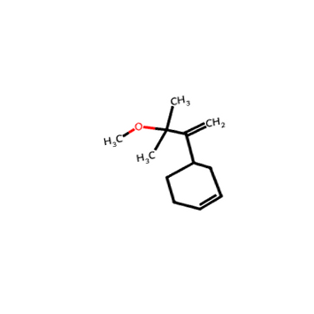 C=C(C1CC=CCC1)C(C)(C)OC